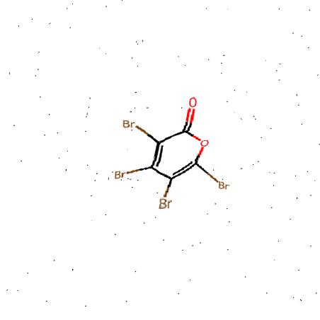 O=c1oc(Br)c(Br)c(Br)c1Br